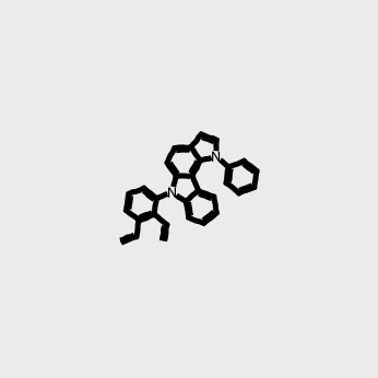 C=Cc1cccc(-n2c3ccccc3c3c4c(ccc32)ccn4-c2ccccc2)c1C=C